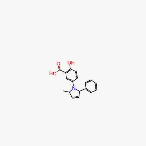 CC1C=CC(c2ccccc2)N1c1ccc(O)c(C(=O)O)c1